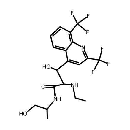 CCNC(C(=O)NC(C)CO)C(O)c1cc(C(F)(F)F)nc2c(C(F)(F)F)cccc12